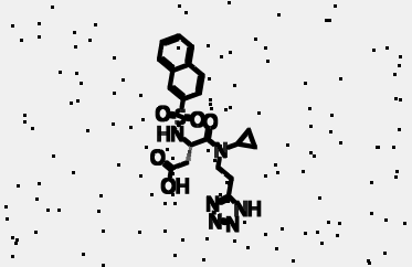 O=C(O)C[C@H](NS(=O)(=O)c1ccc2ccccc2c1)C(=O)N(CCc1nnn[nH]1)C1CC1